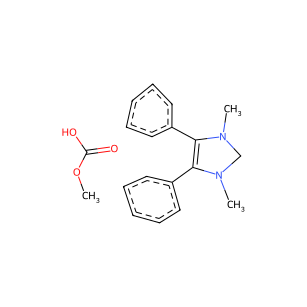 CN1CN(C)C(c2ccccc2)=C1c1ccccc1.COC(=O)O